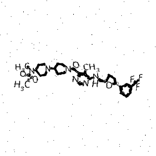 Cc1c(NCC2CC[C@H](c3cccc(C(F)(F)F)c3)O2)ncnc1C(=O)N1CCC(N2CCC(N(C)S(C)(=O)=O)CC2)CC1